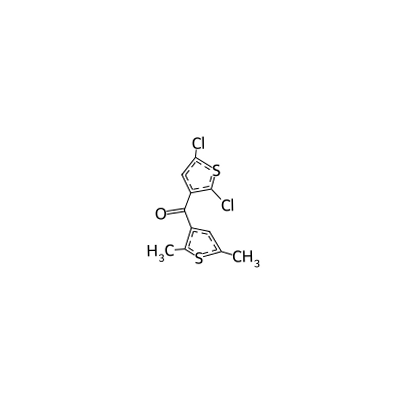 Cc1cc(C(=O)c2cc(Cl)sc2Cl)c(C)s1